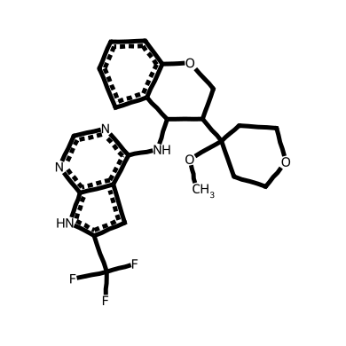 COC1(C2COc3ccccc3C2Nc2ncnc3[nH]c(C(F)(F)F)cc23)CCOCC1